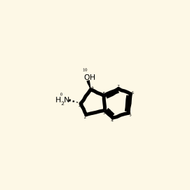 N[C@H]1Cc2ccccc2[C@@H]1O